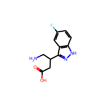 NCC(CC(=O)O)c1n[nH]c2ccc(F)cc12